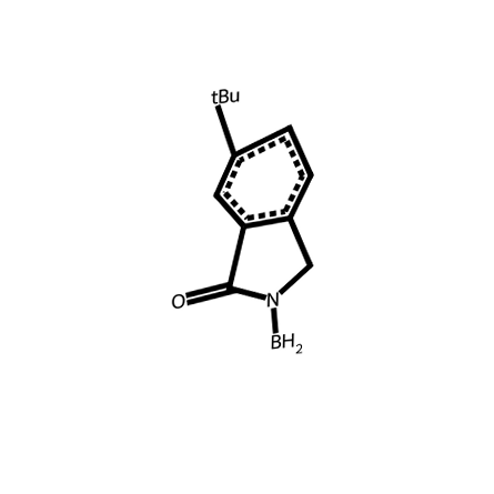 BN1Cc2ccc(C(C)(C)C)cc2C1=O